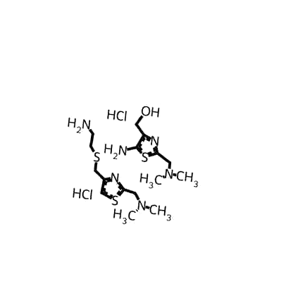 CN(C)Cc1nc(CO)c(N)s1.CN(C)Cc1nc(CSCCN)cs1.Cl.Cl